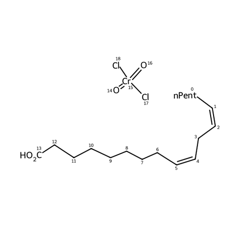 CCCCC/C=C\C/C=C\CCCCCCCC(=O)O.[O]=[Cr](=[O])([Cl])[Cl]